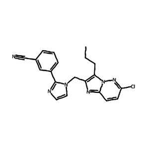 CCCc1c(Cn2ccnc2-c2cccc(C#N)c2)nc2ccc(Cl)nn12